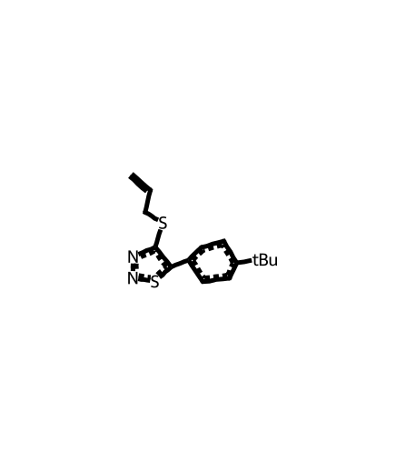 C=CCSc1nnsc1-c1ccc(C(C)(C)C)cc1